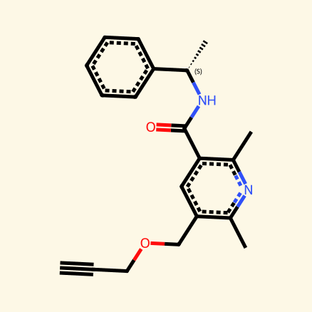 C#CCOCc1cc(C(=O)N[C@@H](C)c2ccccc2)c(C)nc1C